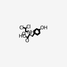 O=C(N[C@@H](Cc1ccc(O)cc1)C(=O)O)C(Cl)Cl